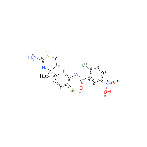 CC1(c2ccc(F)c(NC(=O)c3cc([N+](=O)O)ccc3Cl)c2)CCSC(N)=N1